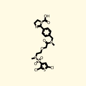 CN(Cc1ccc(C2=NCCN2C(=O)O)cc1)C(=O)COCCN(C)S(=O)(=O)c1cc(Cl)sc1Cl